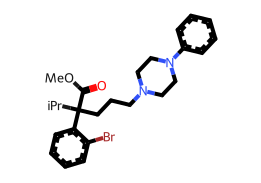 COC(=O)C(CCCN1CCN(c2ccccc2)CC1)(c1ccccc1Br)C(C)C